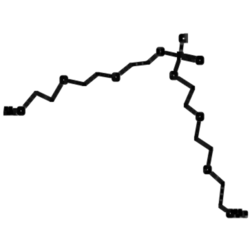 COCCOCCOCCOP(=O)(Cl)OCCOCCOCCOC